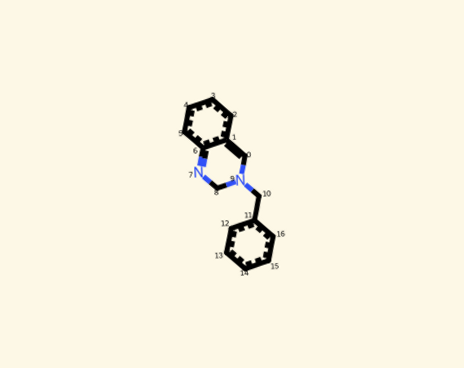 C1=c2ccccc2=NCN1Cc1ccccc1